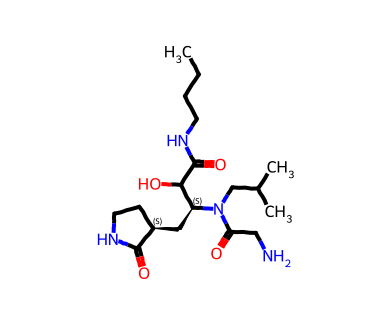 CCCCNC(=O)C(O)[C@H](C[C@@H]1CCNC1=O)N(CC(C)C)C(=O)CN